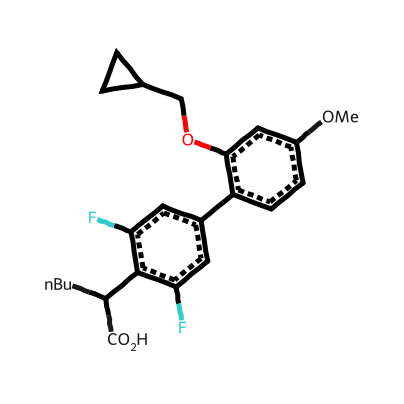 CCCCC(C(=O)O)c1c(F)cc(-c2ccc(OC)cc2OCC2CC2)cc1F